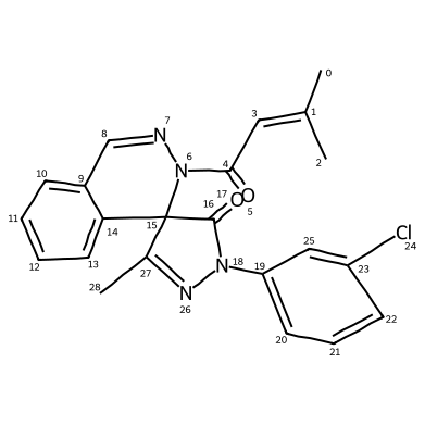 CC(C)=CC(=O)N1N=Cc2ccccc2C12C(=O)N(c1cccc(Cl)c1)N=C2C